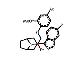 CCC(COc1ccc(C(C)=O)cc1OC)N1C2CCC1CC(c1nsc3cc(F)ccc13)C2